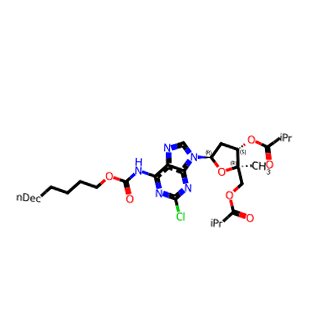 CCCCCCCCCCCCCCOC(=O)Nc1nc(Cl)nc2c1ncn2[C@H]1C[C@H](OC(=O)C(C)C)[C@@](C)(COC(=O)C(C)C)O1